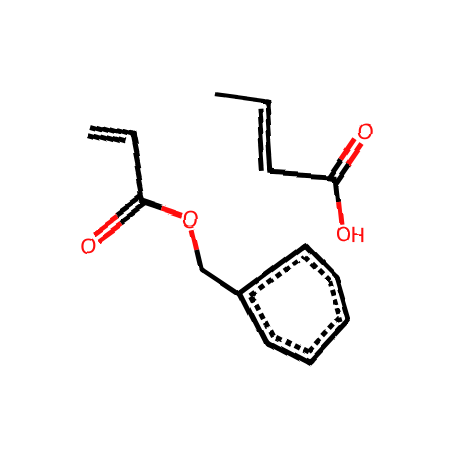 C=CC(=O)OCc1ccccc1.CC=CC(=O)O